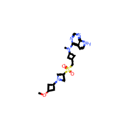 COC1CC(N2CC(S(=O)(=O)CC3CC(N(C)c4ncnc5[nH]ccc45)C3)C2)C1